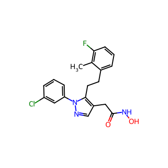 Cc1c(F)cccc1CCc1c(CC(=O)NO)cnn1-c1cccc(Cl)c1